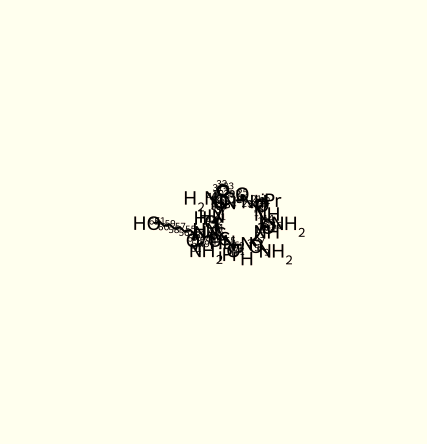 CC(C)C[C@@H]1NC(=O)[C@H](CCN)NC(=O)[C@H](CCN)NC(=O)[C@H](CC(C)C)NC(=O)[C@@H](Cc2ccccc2)NC(=O)[C@H](CCN)NC(=O)[C@@H](NC(=O)[C@@H](CCN)NC(=O)CCCCCCCO)CCNC1=O